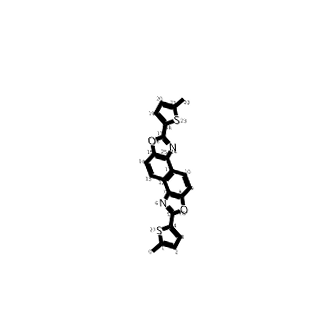 Cc1ccc(-c2nc3c(ccc4c3ccc3oc(-c5ccc(C)s5)nc34)o2)s1